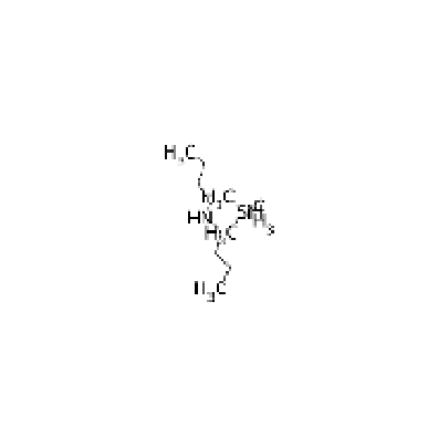 CCCCNCCCC.C[SiH](C)C